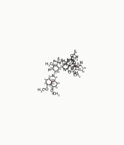 COc1ccc(CN(Cc2ccc(OC)cc2)c2cc(-c3nc4c5c(nc(OC(F)F)nc5c3F)N3C[C@H]5CC[C@@H]([C@H]3[C@H](C)O4)N5C(=O)OC(C)(C)C)c(C(F)(F)F)c(C)c2F)cc1